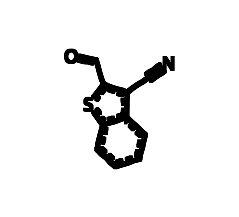 N#Cc1c(C=O)sc2ccccc12